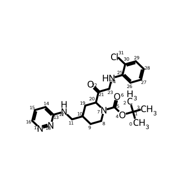 CC(C)(C)OC(=O)N1CCC(CNc2cccnn2)CC1C(=O)CNc1ccccc1Cl